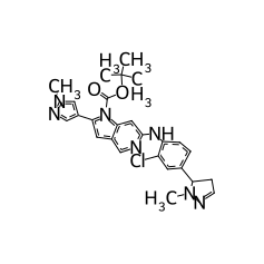 CN1N=CCC1c1ccc(Nc2cc3c(cn2)cc(-c2cnn(C)c2)n3C(=O)OC(C)(C)C)c(Cl)c1